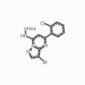 CCCCCCNc1cc(-c2ccccc2Cl)nc2c(Br)cnn12